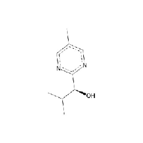 Cc1cnc([C@@H](O)C(C)C)nc1